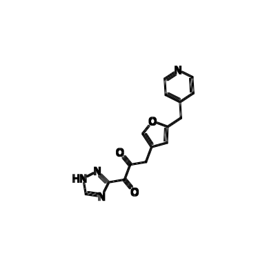 O=C(Cc1coc(Cc2ccncc2)c1)C(=O)c1nc[nH]n1